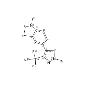 CN1CCc2cc(-c3cn(C)nc3C(F)(F)F)ccc21